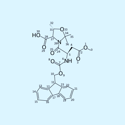 COC(=O)C[C@@H](NC(=O)OCC1c2ccccc2-c2ccccc21)C(=O)N1C(C(=O)O)[C@H](C)OC1(C)C